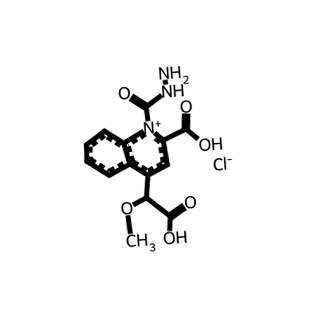 COC(C(=O)O)c1cc(C(=O)O)[n+](C(=O)NN)c2ccccc12.[Cl-]